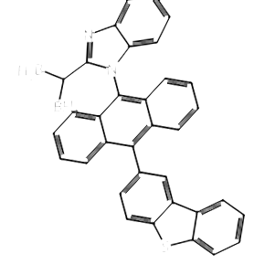 BC(B)c1nc2ccccc2n1-c1c2ccccc2c(-c2ccc3sc4ccccc4c3c2)c2ccccc12